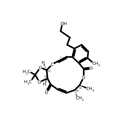 Cc1ccc(CCCO)c2c1C(=O)O[C@@H](C)[C@H](C)/C=C\C(=O)[C@H]1OC(C)(C)O[C@H]1C/C=C/2